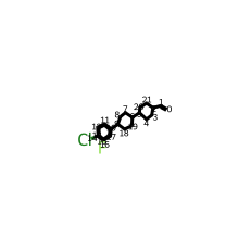 C=CC1CCC(C2CCC(c3ccc(Cl)c(F)c3)CC2)CC1